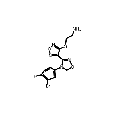 NCCOc1nonc1C1=NOCN1c1ccc(F)c(Br)c1